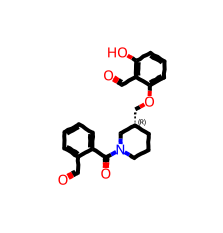 O=Cc1ccccc1C(=O)N1CCC[C@@H](COc2cccc(O)c2C=O)C1